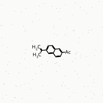 C=C(C)c1ccc2cc(C(C)=O)ccc2c1